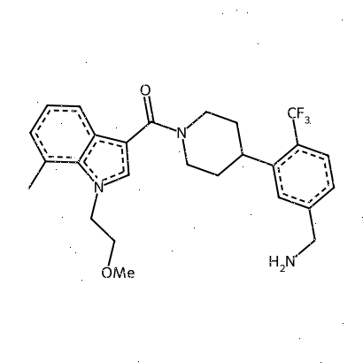 COCCn1cc(C(=O)N2CCC(c3cc(CN)ccc3C(F)(F)F)CC2)c2cccc(C)c21